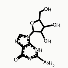 O=c1nc([AsH2])[nH]c2c1ncn2C1OC(CO)C(O)C1O